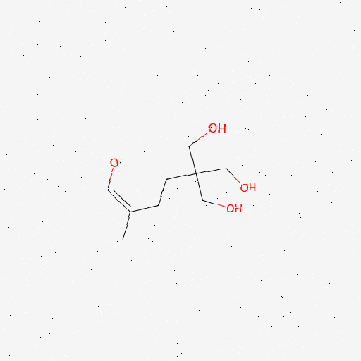 CC(=C[O])CCC(CO)(CO)CO